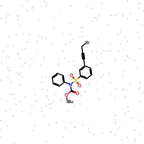 CC(C)(C)OC(=O)N(c1ccccc1)S(=O)(=O)c1cccc(C#CCBr)c1